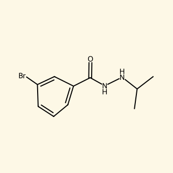 CC(C)NNC(=O)c1cccc(Br)c1